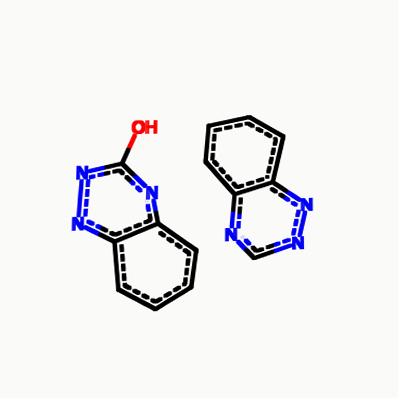 Oc1nnc2ccccc2n1.c1ccc2nncnc2c1